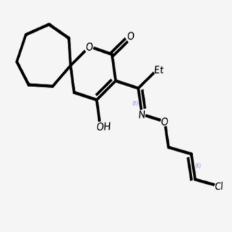 CC/C(=N\OC/C=C/Cl)C1=C(O)CC2(CCCCCC2)OC1=O